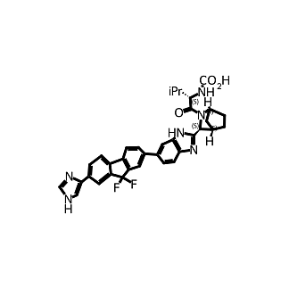 CC(C)[C@H](NC(=O)O)C(=O)N1[C@@H]2CC[C@@H](C2)[C@H]1c1nc2ccc(-c3ccc4c(c3)C(F)(F)c3cc(-c5c[nH]cn5)ccc3-4)cc2[nH]1